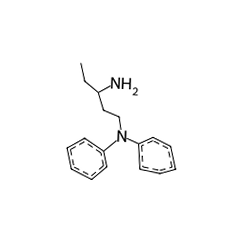 CCC(N)CCN(c1ccccc1)c1ccccc1